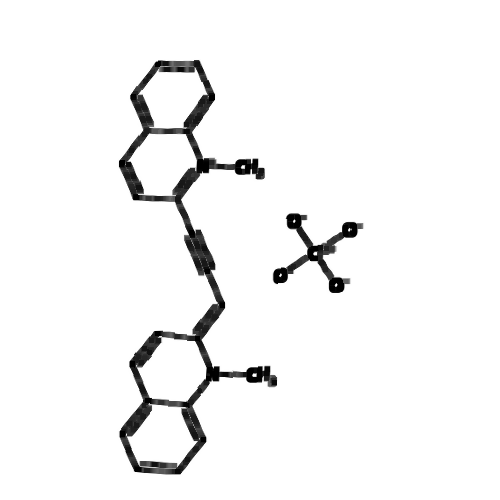 CN1/C(=C/C#Cc2ccc3ccccc3[n+]2C)C=Cc2ccccc21.[O-][Cl+3]([O-])([O-])[O-]